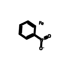 O=[N+]([O-])c1ccccc1.[Fe]